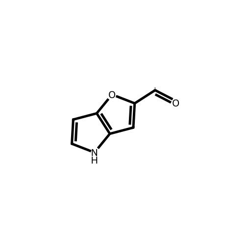 O=[C]c1cc2[nH]ccc2o1